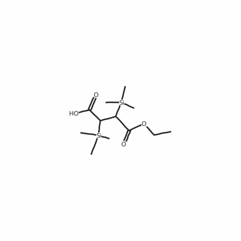 CCOC(=O)C(C(C(=O)O)[Si](C)(C)C)[Si](C)(C)C